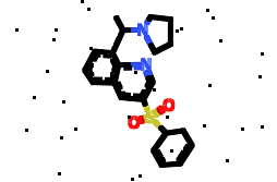 CC(c1cccc2cc(S(=O)(=O)C3C=CC=CC3)cnc12)N1CCCC1